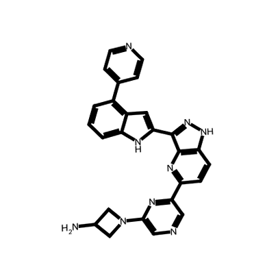 NC1CN(c2cncc(-c3ccc4[nH]nc(-c5cc6c(-c7ccncc7)cccc6[nH]5)c4n3)n2)C1